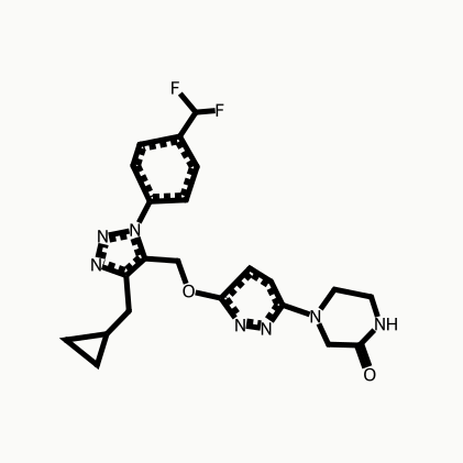 O=C1CN(c2ccc(OCc3c(CC4CC4)nnn3-c3ccc(C(F)F)cc3)nn2)CCN1